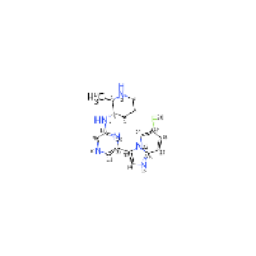 C[C@H]1NCCC[C@@H]1Nc1cncc(-c2cnc3ccc(F)cn23)n1